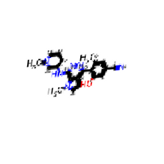 Cc1cc(C#N)cc(O)c1-c1nnc(N[C@@H]2CCCN(C)C2)c2c1ccn2C